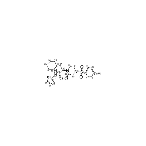 CCc1ccc(S(=O)(=O)N2CCN(C(CC3CCCCC3)C(=O)Nc3nccs3)C(=O)C2)cc1